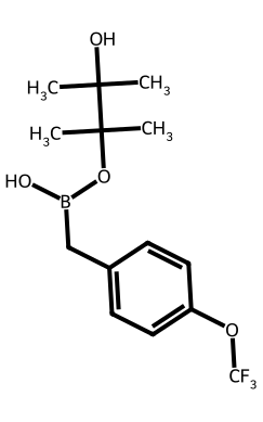 CC(C)(O)C(C)(C)OB(O)Cc1ccc(OC(F)(F)F)cc1